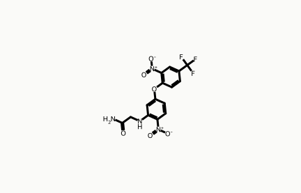 NC(=O)CNc1cc(Oc2ccc(C(F)(F)F)cc2[N+](=O)[O-])ccc1[N+](=O)[O-]